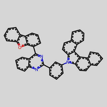 c1cc(-c2nc(-c3cccc4c3oc3ccccc34)c3ccccc3n2)cc(-n2c3ccc4ccccc4c3c3c4ccccc4ccc32)c1